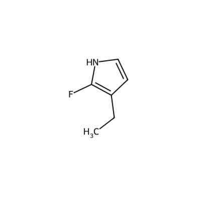 CCc1cc[nH]c1F